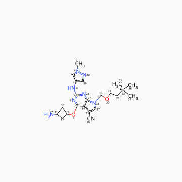 Cn1cc(Nc2nc(OC3CC(N)C3)c3c(C#N)cn(COCC[Si](C)(C)C)c3n2)cn1